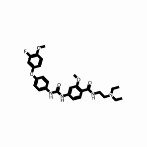 CCN(CC)CCNC(=O)c1ccc(NC(=O)Nc2ccc(Oc3ccc(OC)c(F)c3)cc2)cc1OC